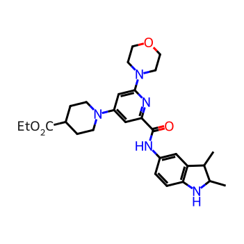 CCOC(=O)C1CCN(c2cc(C(=O)Nc3ccc4c(c3)C(C)C(C)N4)nc(N3CCOCC3)c2)CC1